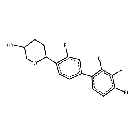 CCCC1CCC(c2ccc(-c3ccc(CC)c(F)c3F)cc2F)OC1